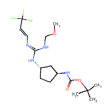 COCN/C(=N\C=C\C(F)(F)F)N[C@H]1CC[C@H](NC(=O)OC(C)(C)C)C1